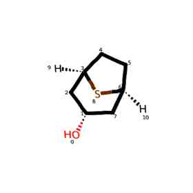 O[C@@H]1C[C@H]2CC[C@@H](C1)S2